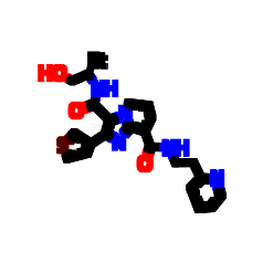 CC[C@@H](CO)NC(=O)c1c(-c2ccsc2)nc2c(C(=O)NCCc3ccccn3)cccn12